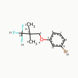 CC(C)(COc1cccc(Br)c1)C(F)(F)F